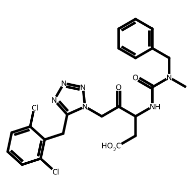 CN(Cc1ccccc1)C(=O)NC(CC(=O)O)C(=O)Cn1nnnc1Cc1c(Cl)cccc1Cl